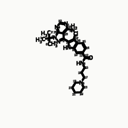 CC(C)(C)n1nc(-c2[nH]c3cc(C(=O)NCCCN4CCCCC4)ccc3c2Cl)c2c(N)ncnc21